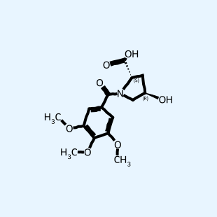 COc1cc(C(=O)N2C[C@H](O)C[C@H]2C(=O)O)cc(OC)c1OC